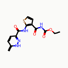 C=C1C=CC(C(=O)Nc2sccc2C(=O)NC(=O)OCC)=NN1